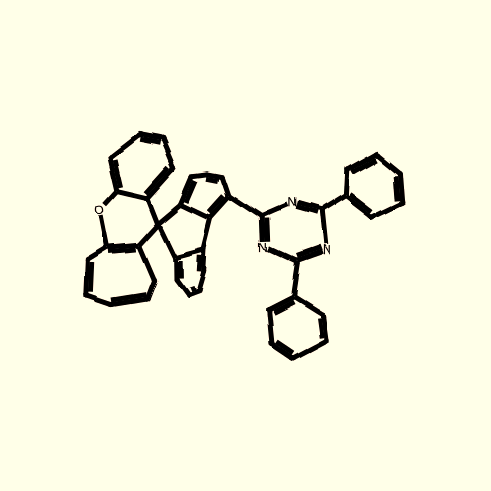 C1=CCC2=C(C=C1)Oc1ccccc1C21c2ccccc2-c2c(-c3nc(-c4ccccc4)nc(-c4ccccc4)n3)cccc21